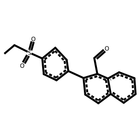 CCS(=O)(=O)c1ccc(-c2ccc3ccccc3c2C=O)cc1